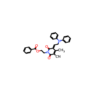 CC1=C(C#N)C(=O)N(CCOC(=O)c2ccccc2)C(=O)/C1=C/CN(c1ccccc1)c1ccccc1